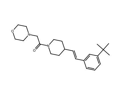 CC(C)(C)c1cccc(/C=C/C2CCN(C(=O)CN3CCOCC3)CC2)c1